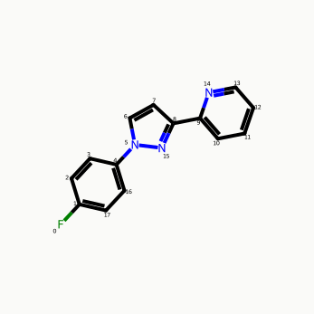 Fc1ccc(-n2ccc(-c3ccccn3)n2)cc1